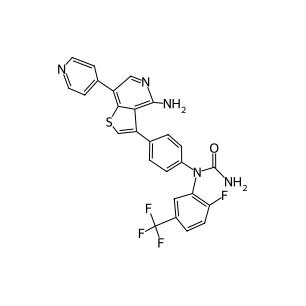 NC(=O)N(c1ccc(-c2csc3c(-c4ccncc4)cnc(N)c23)cc1)c1cc(C(F)(F)F)ccc1F